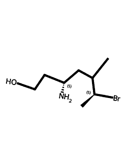 CC(C[C@H](N)CCO)[C@H](C)Br